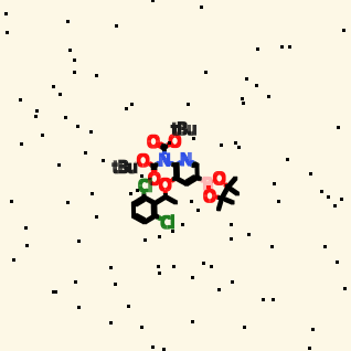 CC(Oc1cc(B2OC(C)(C)C(C)(C)O2)cnc1N(C(=O)OC(C)(C)C)C(=O)OC(C)(C)C)c1c(Cl)cccc1Cl